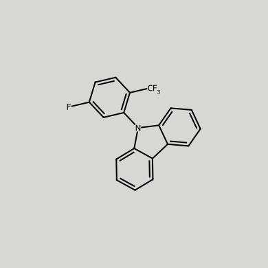 Fc1ccc(C(F)(F)F)c(-n2c3ccccc3c3ccccc32)c1